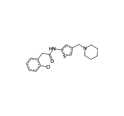 O=C(Cc1ccccc1Cl)Nc1cc(CN2CCCCC2)cs1